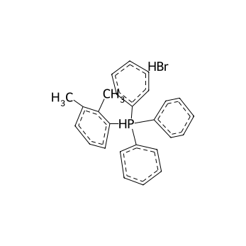 Br.Cc1cccc([PH](c2ccccc2)(c2ccccc2)c2ccccc2)c1C